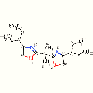 CCC(CC)C1COC(C(C)(C)C2=NC(C(CC)CC)CO2)=N1